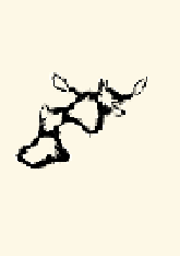 Clc1nc2c(Cl)c3oc4ccccc4c3cc2s1